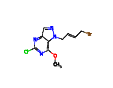 COc1nc(Cl)nc2cnn(CC=CCBr)c12